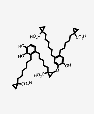 O=C(O)C1(CCCCCCc2cc(OC3CC3(CCCCCc3ccc(O)c(O)c3CCCCCCC3(C(=O)O)CC3)C(=O)O)c(O)cc2CCCCCC2(C(=O)O)CC2)CC1